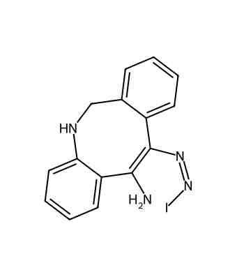 N/C1=C(\N=N/I)c2ccccc2CNc2ccccc21